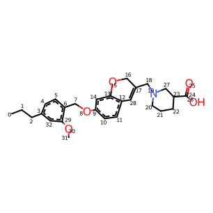 CCCc1ccc(COc2ccc3c(c2)OCC(CN2CCCC(C(=O)O)C2)=C3)c(OC)c1